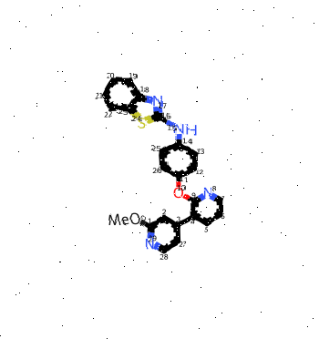 COc1cc(-c2cccnc2Oc2ccc(Nc3nc4ccccc4s3)cc2)ccn1